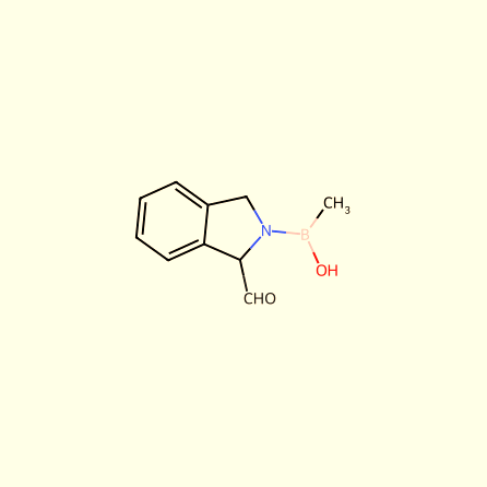 CB(O)N1Cc2ccccc2C1C=O